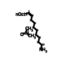 CCCCCCCC/C=C\CCCCCCCCN.C[S+](C)[O-]